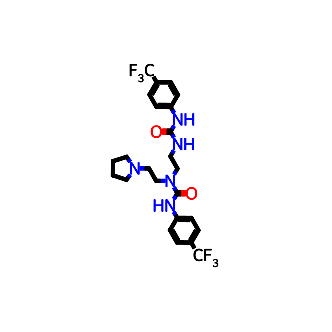 O=C(NCCN(CCN1CCCC1)C(=O)Nc1ccc(C(F)(F)F)cc1)Nc1ccc(C(F)(F)F)cc1